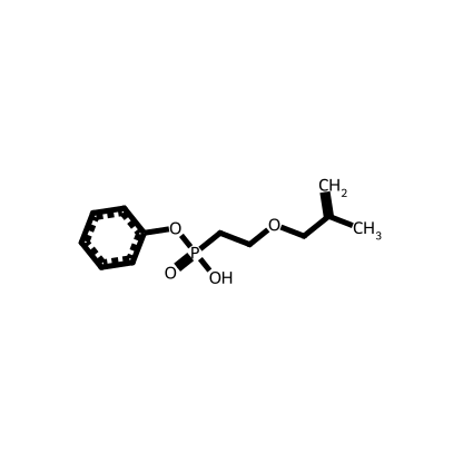 C=C(C)COCCP(=O)(O)Oc1ccccc1